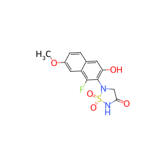 COc1ccc2cc(O)c(N3CC(=O)NS3(=O)=O)c(F)c2c1